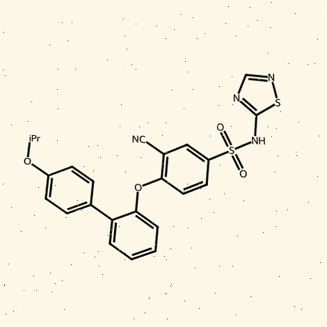 CC(C)Oc1ccc(-c2ccccc2Oc2ccc(S(=O)(=O)Nc3ncns3)cc2C#N)cc1